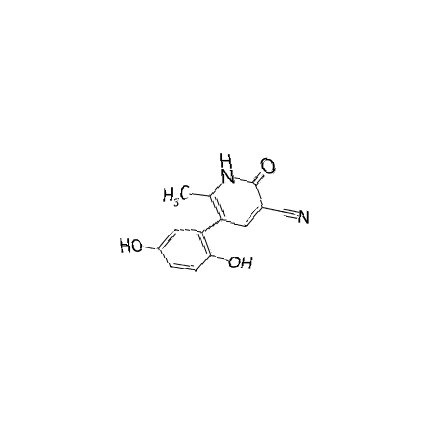 Cc1[nH]c(=O)c(C#N)cc1-c1cc(O)ccc1O